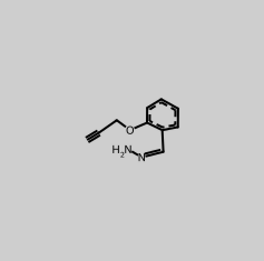 C#CCOc1ccccc1/C=N\N